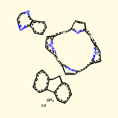 C1=Cc2cc3ccc(cc4nc(cc5ccc(cc1n2)[nH]5)C=C4)[nH]3.[Cd].[SiH4].c1ccc2c(c1)Cc1ccccc1-2.c1ccc2nccnc2c1